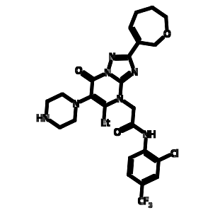 CCc1c(N2CCNCC2)c(=O)n2nc(C3=CCCCOC3)nc2n1CC(=O)Nc1ccc(C(F)(F)F)cc1Cl